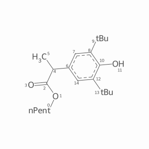 CCCCCOC(=O)C(C)c1cc(C(C)(C)C)c(O)c(C(C)(C)C)c1